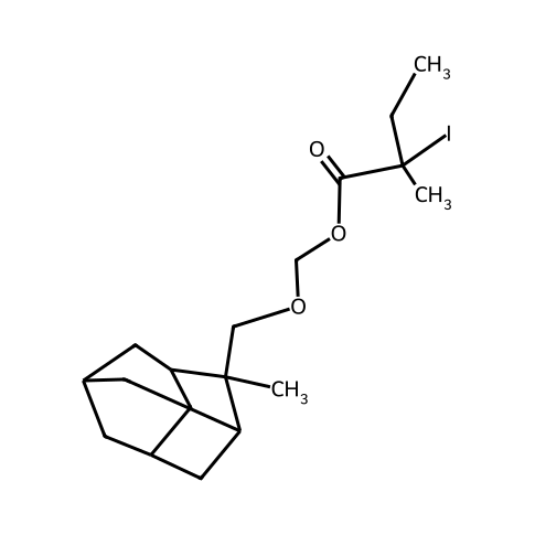 CCC(C)(I)C(=O)OCOCC1(C)C2CC3CC(C2)CC1C3